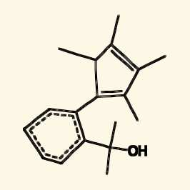 CC1=C(C)C(C)C(c2ccccc2C(C)(C)O)=C1C